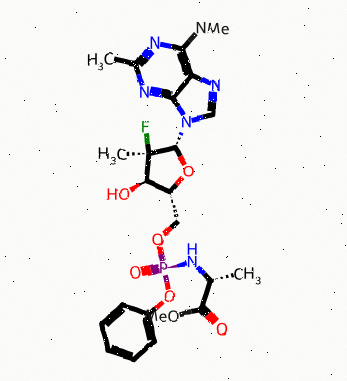 CNc1nc(C)nc2c1ncn2[C@@H]1O[C@H](CO[P@](=O)(N[C@H](C)C(=O)OC)Oc2ccccc2)[C@@H](O)[C@@]1(C)F